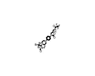 O=CNC(N1CCN(c2ccc(N3CC(CNC(=O)C(F)(F)F)OC3=O)cc2)C[C@@H]1F)C(Br)(Br)Br